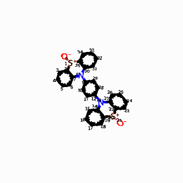 [O-][S+]1c2ccccc2N(c2ccc(N3c4ccccc4[S+]([O-])c4ccccc43)cc2)c2ccccc21